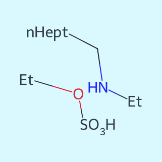 CCCCCCCCNCC.CCOS(=O)(=O)O